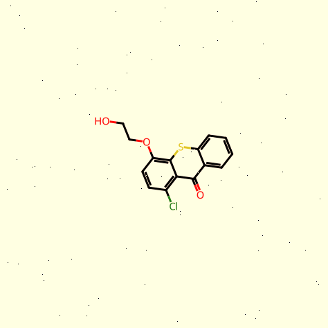 O=c1c2ccccc2sc2c(OCCO)ccc(Cl)c12